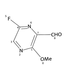 COc1ncc(F)nc1C=O